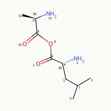 CC(C)C[C@@H](N)C(=O)OC(=O)[C@@H](C)N